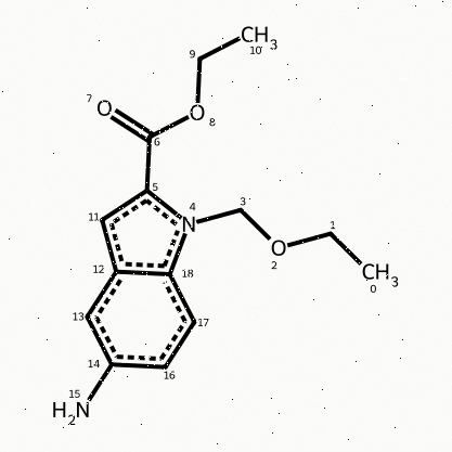 CCOCn1c(C(=O)OCC)cc2cc(N)ccc21